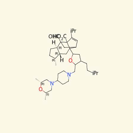 CC(C)CCC1CC(C23C[C@@H]4[C@H](C)CC[C@H]4C4(C=O)CC2C=C(C(C)C)C34C(=O)O)OC1CN1CCC(N2C[C@@H](C)O[C@@H](C)C2)CC1